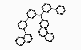 c1ccc(-c2cccc(N(c3cccc(-c4cccc(-c5cccc6ccccc56)c4)c3)c3ccc4c(ccc5ccccc54)c3)c2)cc1